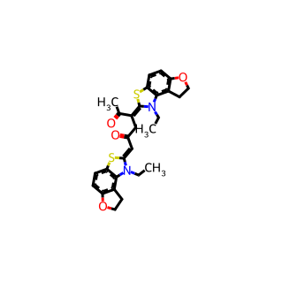 CCN1/C(=C/C(=O)C/C(C(C)=O)=C2/Sc3ccc4c(c3N2CC)CCO4)Sc2ccc3c(c21)CCO3